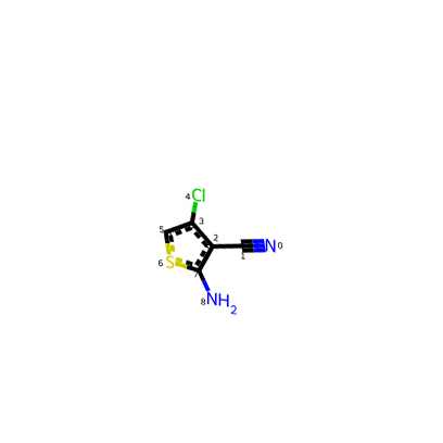 N#Cc1c(Cl)csc1N